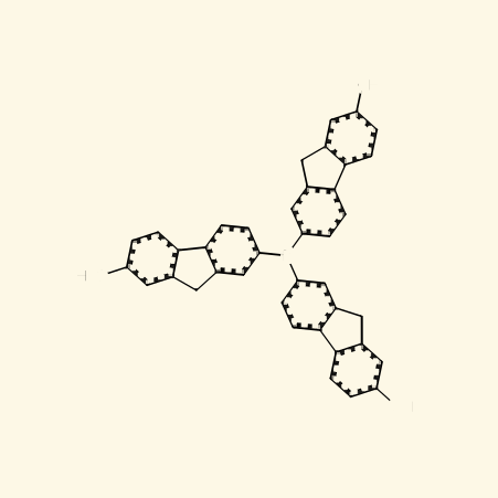 Cc1ccc2c(c1)Cc1cc(P(c3ccc4c(c3)Cc3cc(C)ccc3-4)c3ccc4c(c3)Cc3cc(C)ccc3-4)ccc1-2